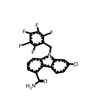 NC(=O)c1cccc2c1c1[c]cc(Cl)cc1n2Cc1c(F)c(F)c(F)c(F)c1F